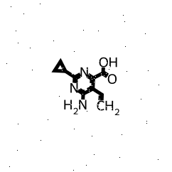 C=Cc1c(N)nc(C2CC2)nc1C(=O)O